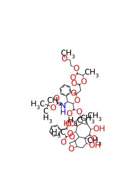 COCCOC(=O)C(C)OC(=O)CC(=O)OC(C(=O)OC1CC2(O)C(OC(=O)c3ccccc3)C3C4(OC(C)=O)COC4CC(O)C3(C)C(=O)C(O)C(=C1C)C2(C)C)C(NC(=O)OC(C)(C)C)c1ccccc1